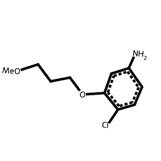 COCCCOc1cc(N)ccc1Cl